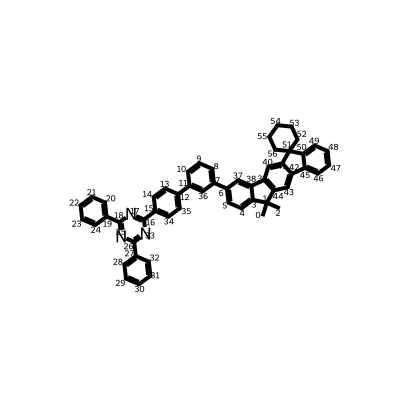 CC1(C)c2ccc(-c3cccc(-c4ccc(-c5nc(-c6ccccc6)nc(-c6ccccc6)n5)cc4)c3)cc2-c2cc3c(cc21)-c1ccccc1C31CCCCC1